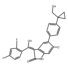 O=C1Nc2cc(Cl)c(-c3ccc(C4(CO)CC4)cc3)cc2C1=C(O)c1ccc(F)cc1F